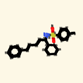 Cc1ccc(S(=O)(=O)NC(CCCCc2ccccc2)C2CCCCC2)cc1